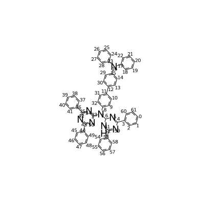 c1ccc(C2=NC(N(c3ccc(-c4ccc(N(c5ccccc5)c5ccccc5)cc4)cc3)c3nc(-c4ccccc4)nc(-c4ccccc4)n3)NC(c3ccccc3)=N2)cc1